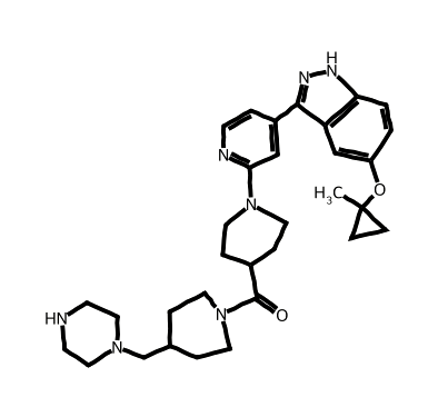 CC1(Oc2ccc3[nH]nc(-c4ccnc(N5CCC(C(=O)N6CCC(CN7CCNCC7)CC6)CC5)c4)c3c2)CC1